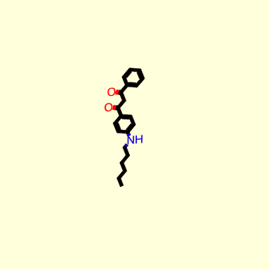 CCCCCCNc1ccc(C(=O)CC(=O)c2ccccc2)cc1